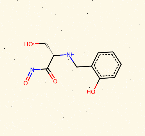 O=NC(=O)[C@H](CO)NCc1ccccc1O